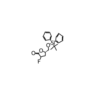 CC(C)(C)[Si](OC[C@H]1CC(F)C(=O)O1)(c1ccccc1)c1ccccc1